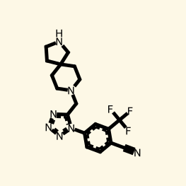 N#Cc1ccc(-n2nnnc2CN2CCC3(CCNC3)CC2)cc1C(F)(F)F